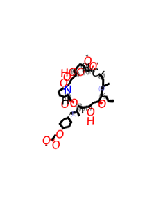 C=CC[C@@H]1/C=C(\C)C[C@H](C)C[C@H](OC)[C@H]2O[C@@](O)(C(=O)C(=O)N3CCCC[C@H]3C(=O)O[C@H](/C(C)=C/[C@H]3CC[C@H](OCC(=O)OC)CC3)[C@H](C)[C@@H](O)CC1=O)[C@H](C)C[C@@H]2OC